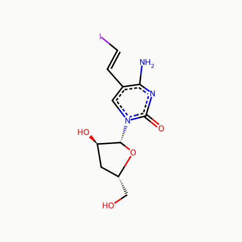 Nc1nc(=O)n([C@@H]2O[C@H](CO)C[C@H]2O)cc1C=CI